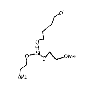 COCCO[SiH](OCCCCCl)OCCOC